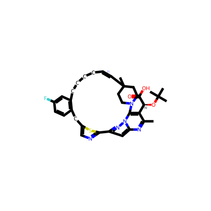 Cc1nc2cc3nn2c(c1[C@H](OC(C)(C)C)C(=O)O)N1CCC(C)(/C=C/CCCCc2cc(F)ccc2Cc2cnc-3s2)CC1